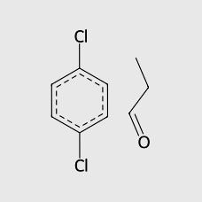 CCC=O.Clc1ccc(Cl)cc1